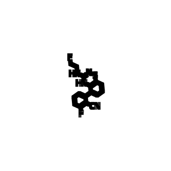 N#Cc1c(F)cccc1-c1cccc2c1NC(NCCF)=NS2